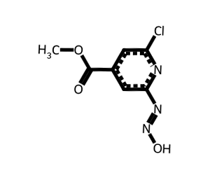 COC(=O)c1cc(Cl)nc(N=NO)c1